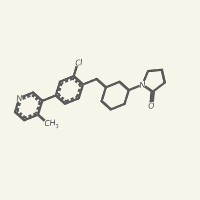 Cc1ccncc1-c1ccc(CC2CCCC(N3CCCC3=O)C2)c(Cl)c1